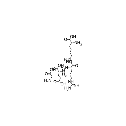 N=C(N)NCCCC(N)C(=O)O.NC(CCC(=O)O)C(=O)O.NCC(=O)O.NCCCCC(N)C(=O)O